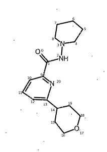 O=C(NN1CCCCC1)c1cccc(C2CCOCC2)n1